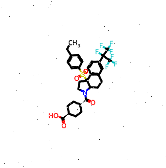 CCc1ccc(S(=O)(=O)C23CCN(C(=O)[C@H]4CC[C@H](C(=O)O)CC4)C2CCc2cc(C(F)(C(F)(F)F)C(F)(F)F)ccc23)cc1